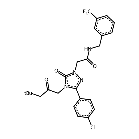 CC(C)(C)CC(=O)Cn1c(-c2ccc(Cl)cc2)nn(CC(=O)NCc2cccc(C(F)(F)F)c2)c1=O